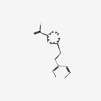 C/C=C\C(=C/C)CCc1nnc(C(N)=O)[nH]1